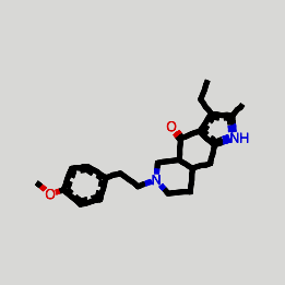 CCc1c(C)[nH]c2c1C(=O)C1CN(CCc3ccc(OC)cc3)CCC1C2